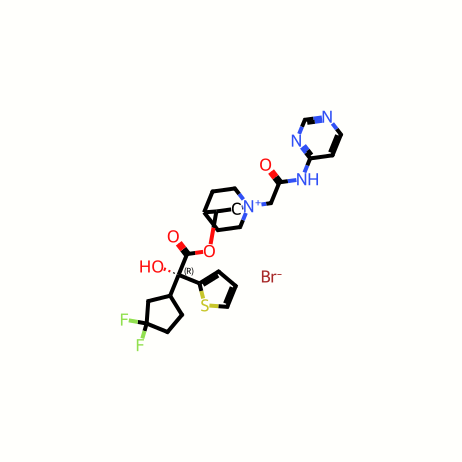 O=C(C[N+]12CCC(CC1)C(OC(=O)[C@@](O)(c1cccs1)C1CCC(F)(F)C1)C2)Nc1ccncn1.[Br-]